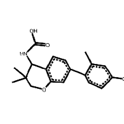 COc1ccc(-c2ccc3c(c2)OCC(C)(C)C3NC(=O)O)c(C)c1